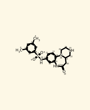 Cc1cc(C)cc(S(=O)(=O)Nc2ccc3c(c2)NC(=O)CC2CNCCN32)c1